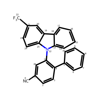 N#Cc1ccc(-c2ccccc2)c(-n2c3ccccc3c3cc(C(F)(F)F)ccc32)c1